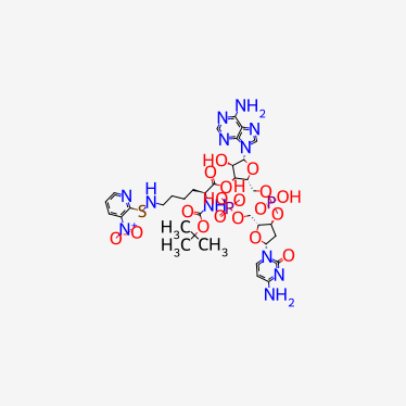 CC(C)(C)OC(=O)N[C@@H](CCCCNSc1ncccc1[N+](=O)[O-])C(=O)O[C@H]1[C@@H](O)[C@H](n2cnc3c(N)ncnc32)O[C@@H]1COP(=O)(O)O[C@H]1C[C@H](n2ccc(N)nc2=O)O[C@@H]1COP(=O)(O)O